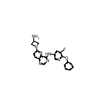 NC1CN(c2ccc3ncnc(Nc4cnc(Oc5ccccc5)c(F)c4)c3n2)C1